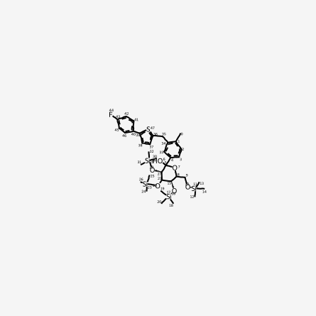 Cc1ccc(C2(O)OC(CO[Si](C)(C)C)[C@@H](O[Si](C)(C)C)C(O[Si](C)(C)C)[C@H]2O[Si](C)(C)C)cc1Cc1ccc(-c2ccc(F)cc2)s1